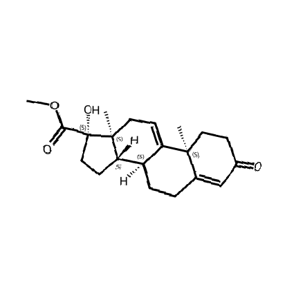 COC(=O)[C@]1(O)CC[C@H]2[C@@H]3CCC4=CC(=O)CC[C@]4(C)C3=CC[C@@]21C